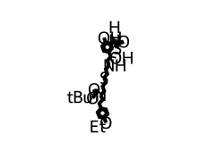 CCOc1ccc(CCN(CCCSCCNC[C@H](O)c2ccc(O)c3[nH]c(=O)sc23)C(=O)OC(C)(C)C)cc1